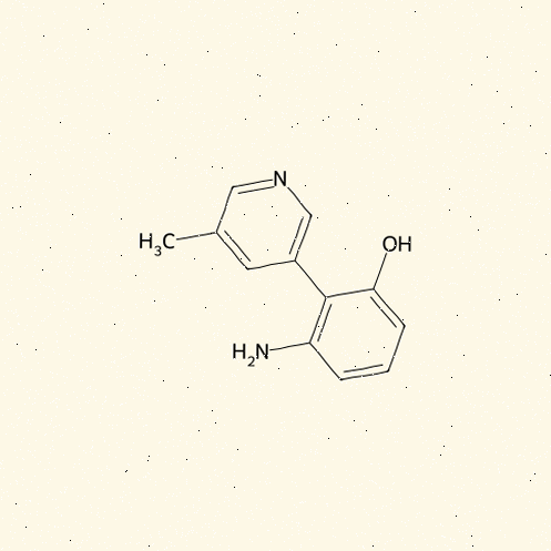 Cc1cncc(-c2c(N)cccc2O)c1